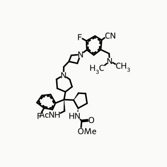 COC(=O)N[C@H]1CCC[C@@H]1[C@](CNC(C)=O)(c1cccc(F)c1)C1CCN(CC2CN(c3cc(CN(C)C)c(C#N)cc3F)C2)CC1